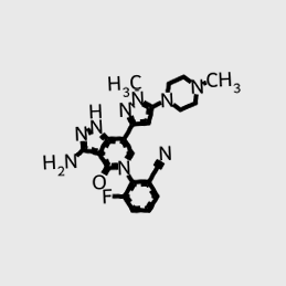 CN1CCN(c2cc(-c3cn(-c4c(F)cccc4C#N)c(=O)c4c(N)n[nH]c34)nn2C)CC1